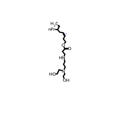 C=CC(C/C=C\CCOC(=O)CCNCCCN(CCO)CCO)CCC